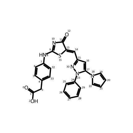 O=C(O)Cc1ccc(NC2=NC(=O)/C(=C/c3cc(-n4cccc4)n(-c4ccccc4)n3)S2)cc1